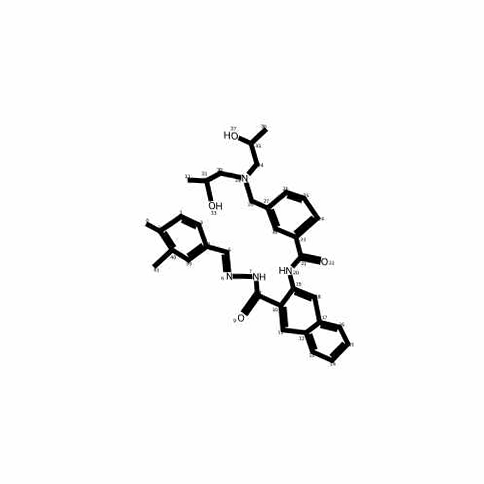 Cc1ccc(/C=N/NC(=O)c2cc3ccccc3cc2NC(=O)c2cccc(CN(CC(C)O)CC(C)O)c2)cc1C